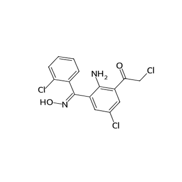 Nc1c(C(=O)CCl)cc(Cl)cc1C(=NO)c1ccccc1Cl